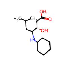 CC(C)CC(NC1CCCCC1)[C@@H](O)CC(=O)O